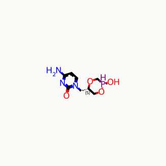 Nc1ccn(C[C@H]2CO[PH](O)CO2)c(=O)n1